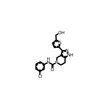 O=C(Nc1cccc(Cl)c1)N1CCc2[nH]nc(-c3ccc(CO)s3)c2C1